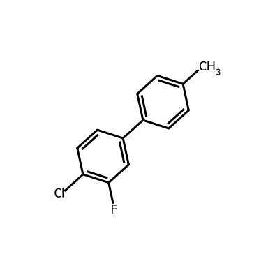 Cc1ccc(-c2ccc(Cl)c(F)c2)cc1